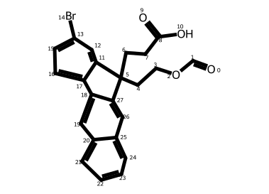 O=COCCC1(CCC(=O)O)c2cc(Br)ccc2-c2cc3ccccc3cc21